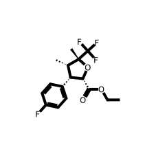 CCOC(=O)[C@H]1O[C@@](C)(C(F)(F)F)[C@@H](C)[C@H]1c1ccc(F)cc1